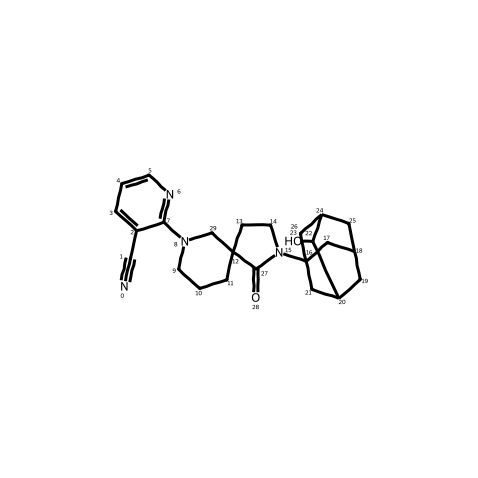 N#Cc1cccnc1N1CCCC2(CCN(C34CC5CC(C3)C(O)C(C5)C4)C2=O)C1